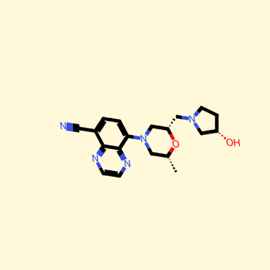 C[C@@H]1CN(c2ccc(C#N)c3nccnc23)C[C@H](CN2CC[C@H](O)C2)O1